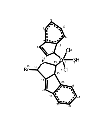 [SH][Zr]([Cl])([Cl])([CH]1C=Cc2ccccc21)[CH]1SC(Br)C2=Cc3ccccc3C21